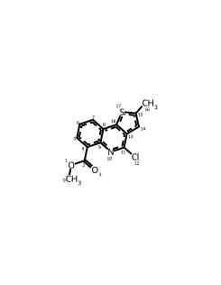 COC(=O)c1cccc2c1nc(Cl)c1cc(C)sc12